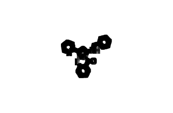 O=C(c1ccccc1F)n1nc(-c2ccccn2)cc1NCc1ccccc1